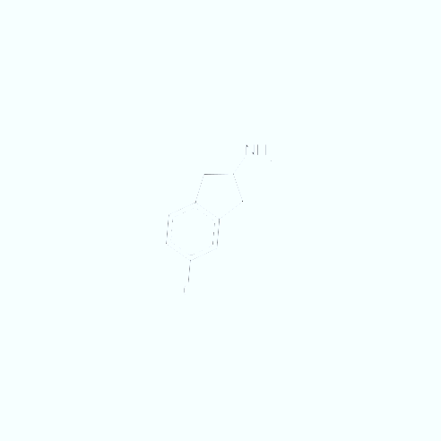 NC1Cc2ccc(Cl)cc2C1